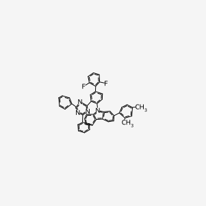 Cc1ccc(-c2ccc3c4ccccc4n(-c4ccc(-c5c(F)cccc5F)cc4-c4nc(-c5ccccc5)nc(-c5ccccc5)n4)c3c2)c(C)c1